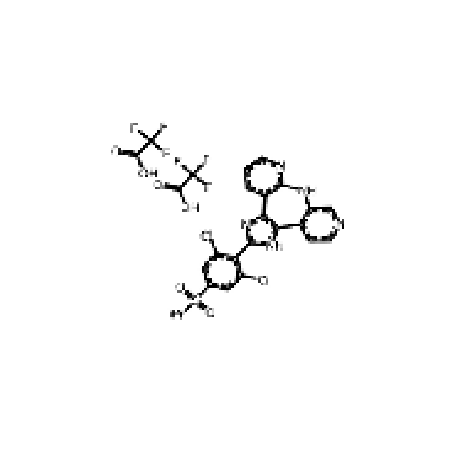 CC(C)S(=O)(=O)c1cc(Cl)c(-c2nc3c([nH]2)-c2ccncc2Nc2ncccc2-3)c(Cl)c1.O=C(O)C(F)(F)F.O=C(O)C(F)(F)F